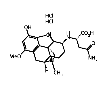 COc1cc(O)c2c3c1C[C@@H]1[C@@H]4CC[C@H](N[C@@H](CC(N)=O)C(=O)O)[C@H](O2)[C@]34CCN1C.Cl.Cl